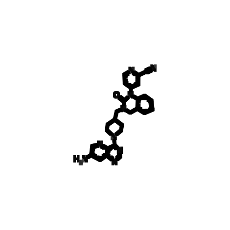 N#Cc1cc(N2C(=O)N(CC3CCN(c4ncnc5cc(N)cnc45)CC3)Cc3ccccc32)ccn1